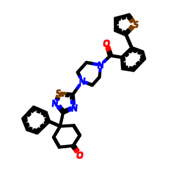 O=C1CCC(c2ccccc2)(c2nsc(N3CCN(C(=O)c4ccccc4-c4cccs4)CC3)n2)CC1